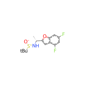 C[C@@H](N[S+]([O-])C(C)(C)C)c1cc2c(F)cc(F)cc2o1